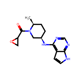 C[C@H]1CC[C@@H](Nc2ncnc3[nH]ccc23)CN1C(=O)C1CO1